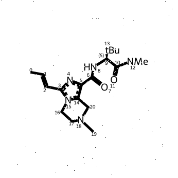 CC=Cc1nc(C(=O)N[C@H](C(=O)NC)C(C)(C)C)c2n1CCN(C)C2